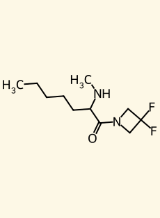 CCCCCC(NC)C(=O)N1CC(F)(F)C1